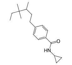 CCC(C)(C)C(C)CCc1ccc(C(=O)NC2CC2)cc1